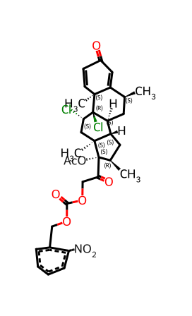 CC(=O)O[C@@]1(C(=O)COC(=O)OCc2ccccc2[N+](=O)[O-])[C@H](C)C[C@H]2[C@@H]3C[C@H](C)C4=CC(=O)C=C[C@]4(C)[C@@]3(Cl)[C@@H](Cl)C[C@@]21C